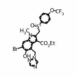 CCOC(=O)c1c(C[S+]([O-])c2ccc(OC(F)(F)F)cc2)n(C)c2cc(Br)c(O)c(Cn3cncn3)c12